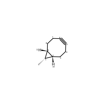 C[C@H]1[C@H]2CCC#CCC[C@@H]12